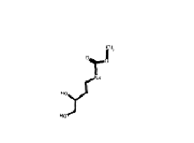 COC(=O)NCCC(O)CO